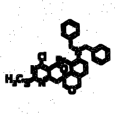 CSc1nc(Cl)c2c(n1)CC1(COCc3ccc(N(Cc4ccccc4)Cc4ccccc4)c(Br)c31)OC2